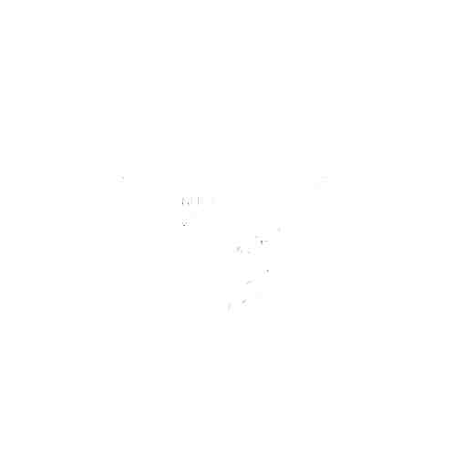 CCCCc1oc2ccccc2c1CNC(=O)c1ccc(CN(Cc2ccc(C(F)(F)F)cc2)C(=O)C(=O)OCC)cc1